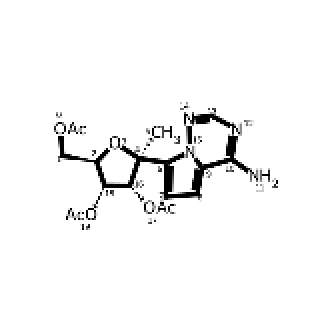 CC(=O)OC[C@H]1O[C@@](C)(c2ccc3c(N)ncnn23)[C@H](OC(C)=O)[C@@H]1OC(C)=O